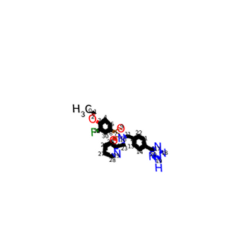 CCOc1ccc(S(=O)(=O)N(Cc2ccc(-c3nn[nH]n3)cc2)Cc2ccccn2)cc1F